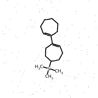 C[Si](C)(C)C1CCC=C(C2=CCCCCC2)CC1